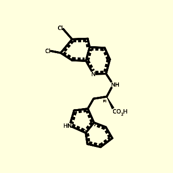 O=C(O)[C@@H](Cc1c[nH]c2ccccc12)Nc1ccc2cc(Cl)c(Cl)cc2n1